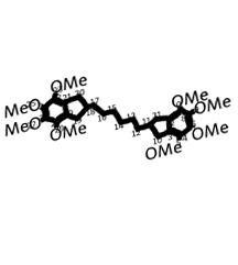 COc1c2c(c(OC)c(OC)c1OC)CC(CCCCCCC1Cc3c(c(OC)c(OC)c(OC)c3OC)C1)C2